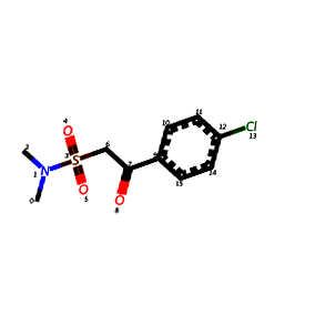 CN(C)S(=O)(=O)CC(=O)c1ccc(Cl)cc1